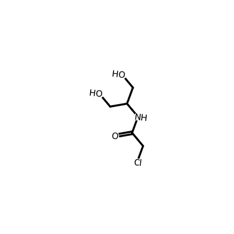 O=C(CCl)NC(CO)CO